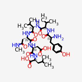 CNC(=O)C[C@H](NC(=O)[C@@H](NC(=O)[C@@H](NC(=O)[C@@H](N)Cc1ccc(O)cc1)C(C)C)C(C)C)C(=O)N[C@@H](CC(=O)O)C(=O)N[C@@H](CC(C)C)C(=O)O